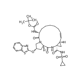 CC(C)(C)OC(=O)N[C@H]1CCCCC/C=C\[C@@H]2C[C@@]2(C(=O)NS(=O)(=O)C2CC2)NC(=O)[C@@H]2C[C@@H](Oc3nc4ccccc4s3)CN2C1=O